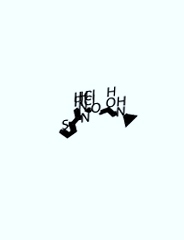 Cl.Cl.O[C@@H](CNC1CC1)COc1nc(-c2cccs2)c[nH]1